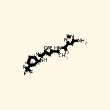 CC(NC(=O)c1cc(N)ncn1)c1cc(-c2nc3ccc(C(F)(F)F)cc3[nH]2)on1